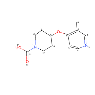 Cc1cnccc1OC1CCN(C(=O)O)CC1